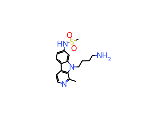 Cc1nccc2c3ccc(NS(C)(=O)=O)cc3n(CCCCN)c12